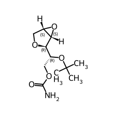 CC(C)(C)O[C@H](COC(N)=O)[C@H]1OC[C@@H]2O[C@H]12